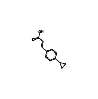 O=C(O)C=Cc1ccc(C2CC2)cc1